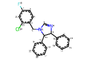 Fc1ccc(CN2C=NC(c3ccccc3)C2c2ccccc2)c(Cl)c1